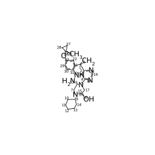 C=C(c1cc(N2CCN(C3CCCCC3)[C@H](O)C2)ncn1)c1cc(OC2(C)CC2)ccc1NN